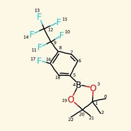 CC1(C)OB(c2ccc(C(F)(F)C(F)(F)F)c(F)c2)OC1(C)C